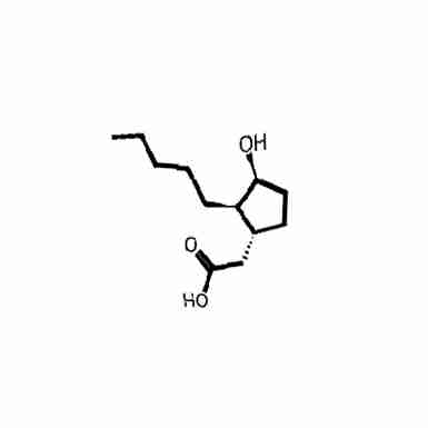 CCCCC[C@@H]1[C@@H](CC(=O)O)CC[C@@H]1O